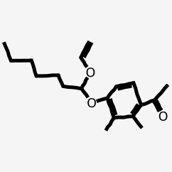 C=COC(CCCCCC)Oc1ccc(C(C)=O)c(C)c1C